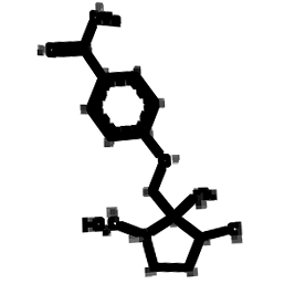 COC(=O)c1ccc(OCC2(C(C)(C)C)C(Cl)CCN2C(=O)O)cc1